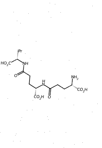 CC(C)[C@H](NC(=O)CC[C@H](NC(=O)CC[C@H](N)C(=O)O)C(=O)O)C(=O)O